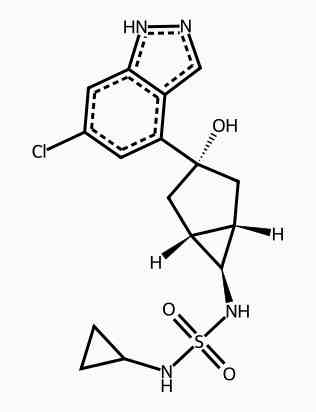 O=S(=O)(NC1CC1)N[C@H]1[C@@H]2C[C@@](O)(c3cc(Cl)cc4[nH]ncc34)C[C@@H]21